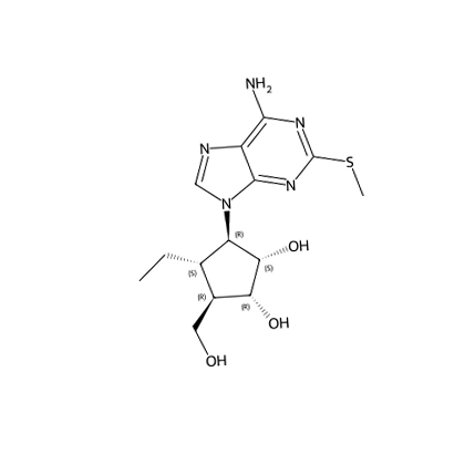 CC[C@H]1[C@H](CO)[C@@H](O)[C@@H](O)[C@@H]1n1cnc2c(N)nc(SC)nc21